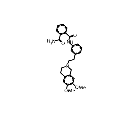 COc1cc2c(cc1OC)CN(CCc1cccc(NC(=O)c3ccccc3C(N)=O)c1)CC2